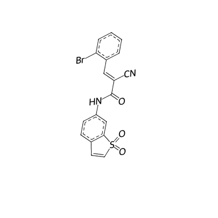 N#CC(=Cc1ccccc1Br)C(=O)Nc1ccc2c(c1)S(=O)(=O)C=C2